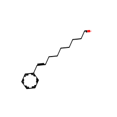 O=CCCCCCCC=Cc1ccccc1